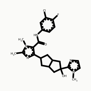 Cc1nc(C2CC3CC(O)(c4nccn4C)CC3C2)c(C(=O)Nc2ccc(F)c(Cl)c2)n1C